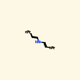 CCC/C=C/N/C=C/CCC